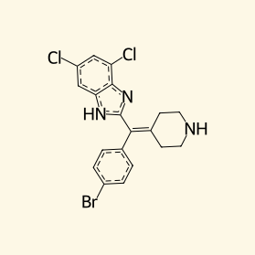 Clc1cc(Cl)c2nc(C(=C3CCNCC3)c3ccc(Br)cc3)[nH]c2c1